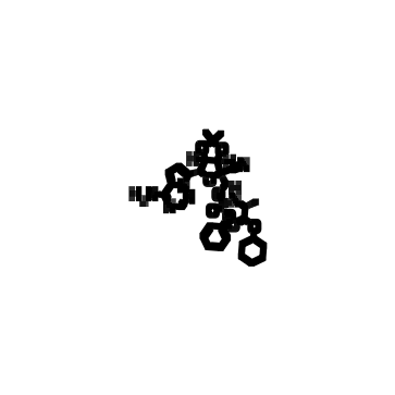 C[C@H](N[P@](=O)(OC[C@@]1(C#N)O[C@@H](c2ccc3c(N)ncnn23)[C@@H]2OC(C)(C)O[C@@H]21)Oc1ccccc1)C(=O)OC1CCCCC1